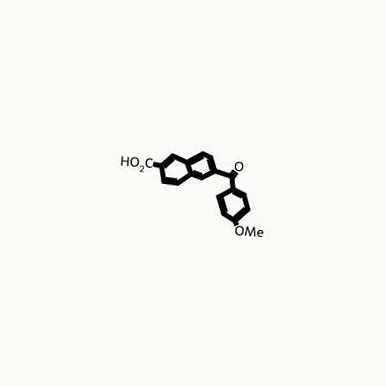 COc1ccc(C(=O)c2ccc3cc(C(=O)O)ccc3c2)cc1